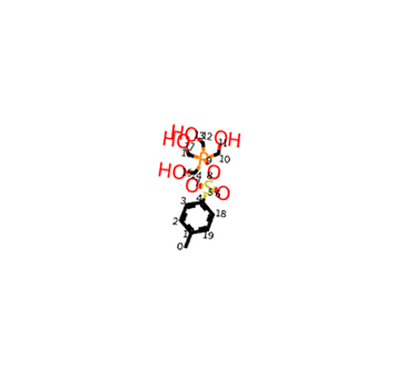 Cc1ccc(S(=O)(=O)OP(CO)(CO)(CO)CO)cc1